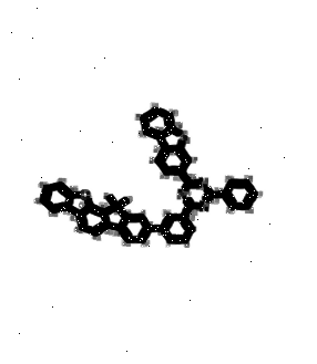 CC1(C)c2cc(-c3cccc(-c4nc(-c5ccccc5)nc(-c5ccc6c(c5)sc5ccccc56)n4)c3)ccc2-c2ccc3c(oc4ccccc43)c21